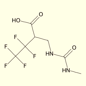 CNC(=O)NCC(C(=O)O)C(F)(F)C(F)(F)F